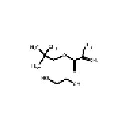 C=C(C)C(=O)OCC(C)(C)C.OCCO